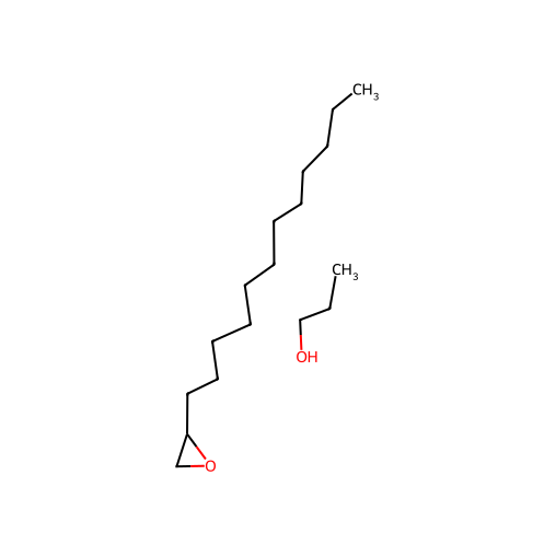 CCCCCCCCCCCCC1CO1.CCCO